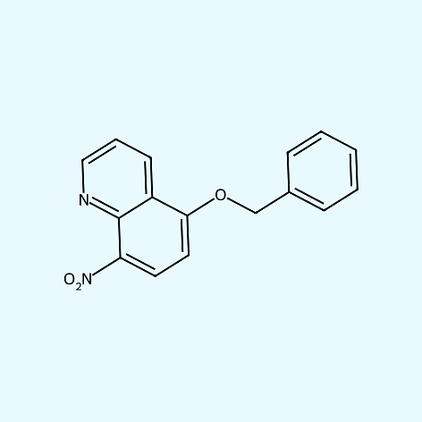 O=[N+]([O-])c1ccc(OCc2ccccc2)c2cccnc12